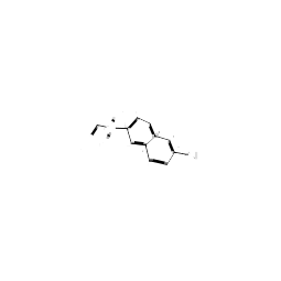 C=CS(=O)(=O)c1ccc2cc(N)ccc2c1